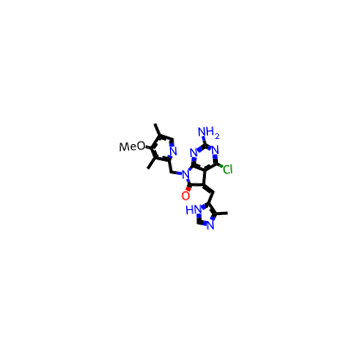 COc1c(C)cnc(CN2C(=O)/C(=C\c3[nH]cnc3C)c3c(Cl)nc(N)nc32)c1C